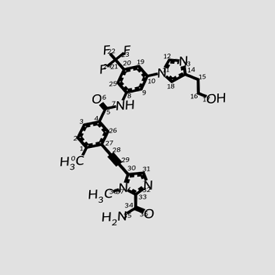 Cc1ccc(C(=O)Nc2cc(-n3cnc(CCO)c3)cc(C(F)(F)F)c2)cc1C#Cc1cnc(C(N)=O)n1C